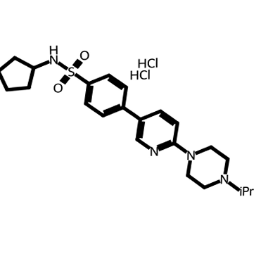 CC(C)N1CCN(c2ccc(-c3ccc(S(=O)(=O)NC4CCCC4)cc3)cn2)CC1.Cl.Cl